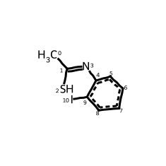 C/C(S)=N/c1ccccc1I